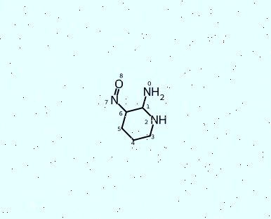 NC1NCCCC1N=O